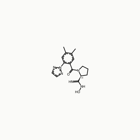 Cc1cc(C(=O)N2CCC[C@H]2C(=N)NO)c(-n2nccn2)cc1C